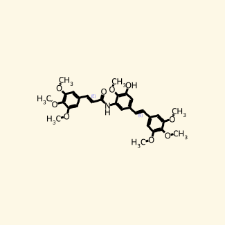 COc1cc(/C=C/C(=O)Nc2cc(/C=C/c3cc(OC)c(OC)c(OC)c3)cc(O)c2OC)cc(OC)c1OC